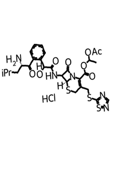 CC(=O)OC(C)OC(=O)C1=C(CSc2ncns2)CS[C@H]2C(NC(=O)C(O)c3ccccc3C(=O)[C@@H](N)CC(C)C)C(=O)N12.Cl